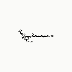 CCCCCCCCCCCCCCCCCCCC(=O)OC[C@H](COP(=O)([O-])OCC[N+](C)(C)C)OC(=O)CCCCCCCCC